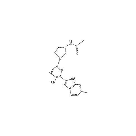 CC(=O)NC1CCN(c2cnc(N)c(-c3nc4ccc(C)cc4[nH]3)n2)C1